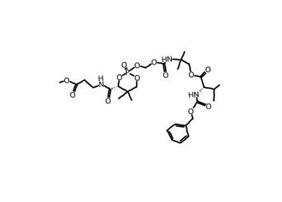 COC(=O)CCNC(=O)[C@@H]1OP(=O)(OCOC(=O)NC(C)(C)COC(=O)[C@@H](NC(=O)OCc2ccccc2)C(C)C)OCC1(C)C